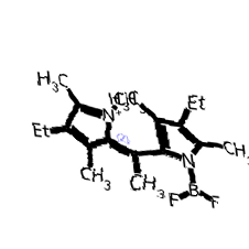 CCC1=C(C)/C(=C(\C)c2c(C)c(CC)c(C)n2B(F)F)[N+](C)=C1C